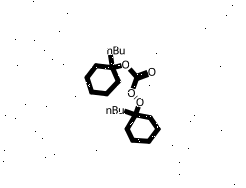 CCCCC1(OOC(=O)OC2(CCCC)CCCCC2)CCCCC1